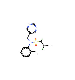 Cc1ccccc1N(Cc1cncnc1)S(=O)(=O)C(Cl)C(C)Cl